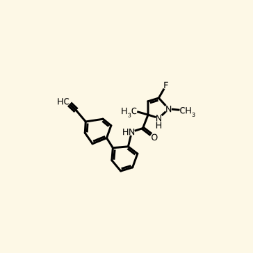 C#Cc1ccc(-c2ccccc2NC(=O)C2(C)C=C(F)N(C)N2)cc1